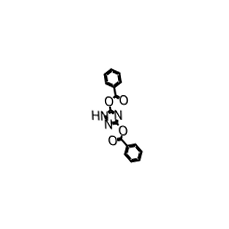 O=C(Oc1n[nH]c(OC(=O)c2ccccc2)n1)c1ccccc1